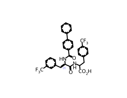 O=C(NC(Cc1ccc(C(F)(F)F)cc1)C(=O)O)/C(=C/c1cccc(C(F)(F)F)c1)NC(=O)c1ccc(-c2ccccc2)cc1